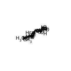 CN(C)CC(=O)NCCn1nnc2c(F)c3c(c(F)c21)CC(CN1CCC2(CC1)CN(c1cnc4c(n1)NC(=O)CO4)C(=O)O2)C3